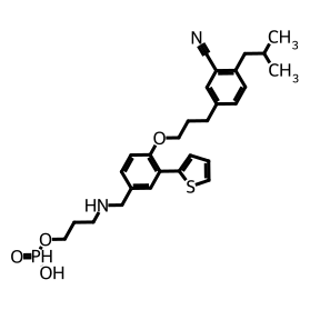 CC(C)Cc1ccc(CCCOc2ccc(CNCCCO[PH](=O)O)cc2-c2cccs2)cc1C#N